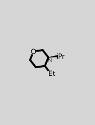 CCC1CCOC[C@H]1C(C)C